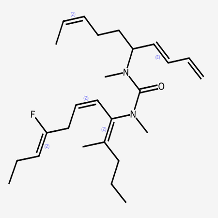 C=C/C=C/C(CC/C=C\C)N(C)C(=O)N(C)C(/C=C\C/C(F)=C/CC)=C(/C)CCC